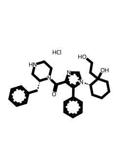 Cl.O=C(c1ncn([C@H]2CCCCC2(O)CCO)c1-c1ccccc1)N1CCNC[C@H]1Cc1ccccc1